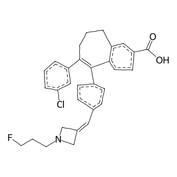 O=C(O)c1ccc2c(c1)CCCC(c1cccc(Cl)c1)=C2c1ccc(C=C2CN(CCCF)C2)cc1